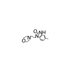 Cc1ccc2c(c1)[nH]c(=O)n2CCN1CCOCC1